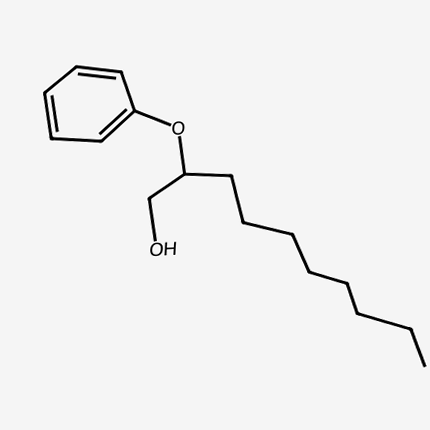 CCCCCCCCC(CO)Oc1ccccc1